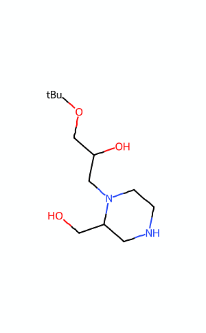 CC(C)(C)OCC(O)CN1CCNCC1CO